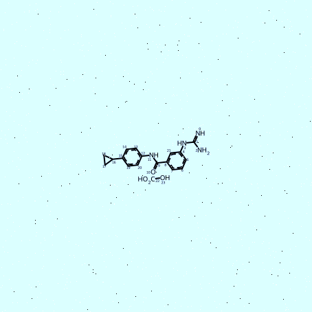 N=C(N)Nc1cccc(C(=O)Nc2ccc(C3CC3)cc2)c1.O=C(O)O